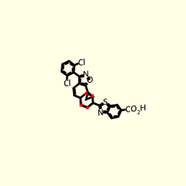 O=C(O)c1ccc2nc(C34CCC(/C=C\c5c(-c6c(Cl)cccc6Cl)noc5C5CC5)(CC3)CC4)sc2c1